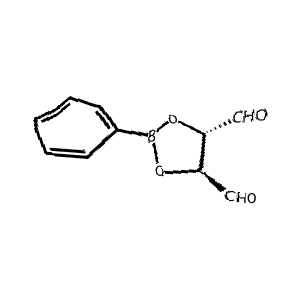 O=C[C@H]1OB(c2ccccc2)O[C@@H]1C=O